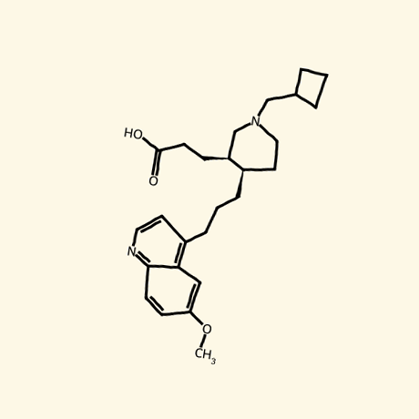 COc1ccc2nccc(CCC[C@@H]3CCN(CC4CCC4)C[C@@H]3CCC(=O)O)c2c1